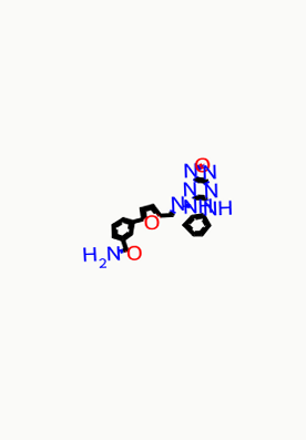 NC(=O)c1cccc(-c2ccc(/C=N/Nc3nc4nonc4nc3Nc3ccccc3)o2)c1